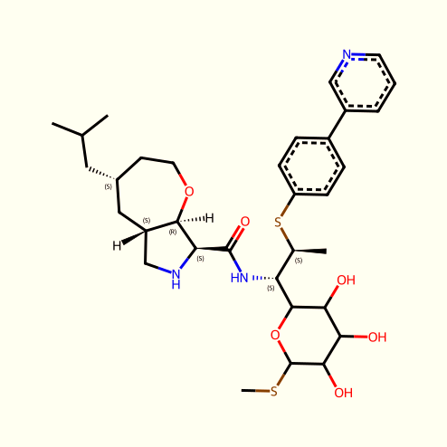 CSC1OC([C@H](NC(=O)[C@H]2NC[C@@H]3C[C@H](CC(C)C)CCO[C@H]32)[C@H](C)Sc2ccc(-c3cccnc3)cc2)C(O)C(O)C1O